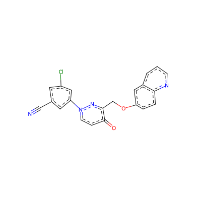 N#Cc1cc(Cl)cc(-n2ccc(=O)c(COc3ccc4ncccc4c3)n2)c1